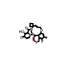 O=C1c2c(O)c(=O)ccn2N2CN1C1(/C=C/COc3cc(F)c(F)c4c3C2c2ccccc2SC4)CCC1